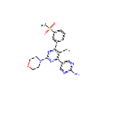 Cc1c(-c2cnc(N)nc2)nc(N2CCOCC2)nc1-c1cccc(S(C)(=O)=O)c1